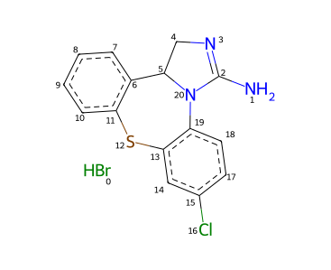 Br.NC1=NCC2c3ccccc3Sc3cc(Cl)ccc3N12